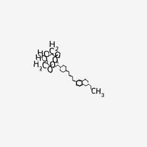 C=C(CO)C(=O)OCC(COC(=O)C(=C)CO)C1CCC(CCCCc2ccc3c(c2)CCC(CCC)C3)CC1